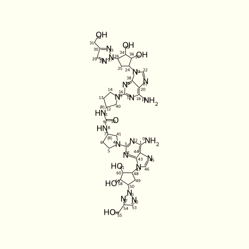 Nc1nc(N2CC[C@@H](NC(=O)N[C@@H]3CCN(c4nc(N)c5ncn(C6CC(n7ncc(CO)n7)C(O)C6O)c5n4)C3)C2)nc2c1ncn2C1CC(n2ncc(CO)n2)C(O)C1O